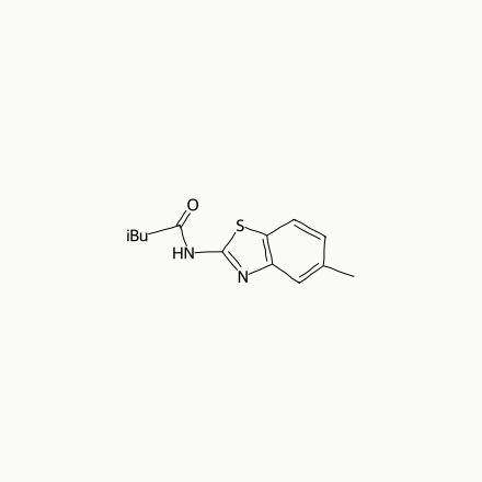 CCC(C)C(=O)Nc1nc2cc(C)ccc2s1